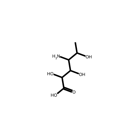 CC(O)C(N)C(O)C(O)C(=O)O